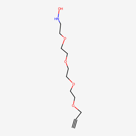 C#CCOCCOCCOCCOCCNO